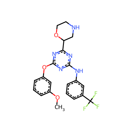 COc1cccc(Oc2nc(Nc3cccc(C(F)(F)F)c3)nc(C3CNCCO3)n2)c1